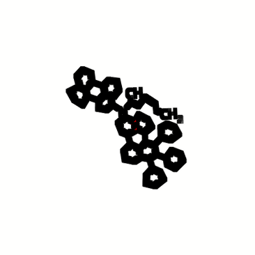 C=C/C=C\C=C(/C)N(c1ccc(-c2cccc3cccc(-c4ccccc4)c23)cc1)c1ccc(-c2cccc3c(-c4ccccc4)c(-c4ccccc4)c(-c4ccccc4)c(-c4ccccc4)c23)cc1